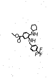 CCOC(=O)c1ccc(NC2CCCCC2)c(NCc2ccc(C(F)(F)F)cc2)c1